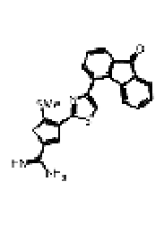 CSc1sc(C(=N)N)cc1-c1nc(-c2cccc3c2-c2ccccc2C3=O)cs1